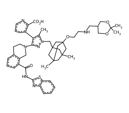 Cc1c(-c2cccnc2C(=O)O)c(N2CCc3cccc(C(=O)Nc4nc5ccccc5s4)c3C2)nn1CC12CC3(C)CC(C)(C1)CC(OCCNCC1COC(C)(C)OC1)(C3)C2